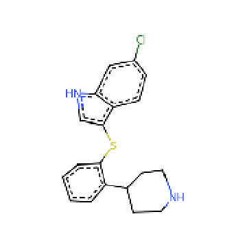 Clc1ccc2c(Sc3ccccc3C3CCNCC3)c[nH]c2c1